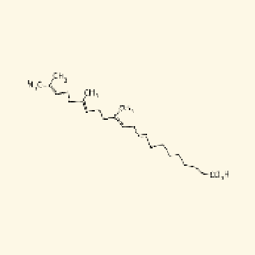 CC(C)=CCC/C(C)=C/CC/C(C)=C/C/C=C/CCCCCCCC(=O)O